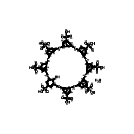 O.O=S(=O)(O)c1cc2c(O)c(c1)Cc1cc(S(=O)(=O)O)cc(c1O)Cc1cc(S(=O)(=O)O)cc(c1O)Cc1cc(S(=O)(=O)O)cc(c1O)Cc1cc(S(=O)(=O)O)cc(c1O)Cc1cc(S(=O)(=O)O)cc(c1O)Cc1cc(S(=O)(=O)O)cc(c1O)Cc1cc(S(=O)(=O)O)cc(c1O)C2